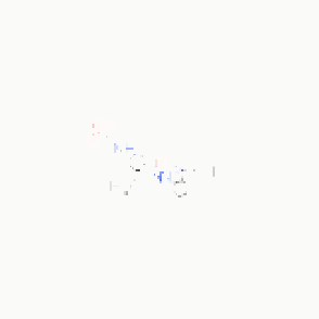 CCC/C(=C/c1nnc(-c2ccc(CNCCC(=O)O)cc2CC)o1)c1ccccc1